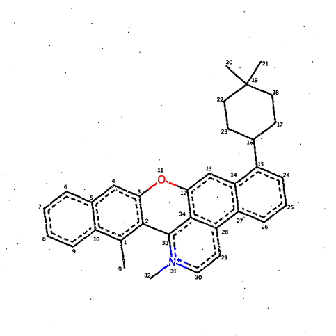 Cc1c2c(cc3ccccc13)Oc1cc3c(C4CCC(C)(C)CC4)cccc3c3cc[n+](C)c-2c13